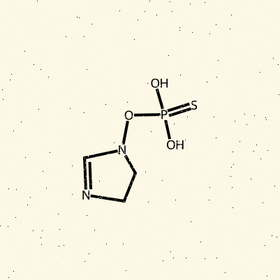 OP(O)(=S)ON1C=NCC1